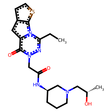 CCc1nn(CC(=O)N[C@@H]2CCCN(C[C@H](C)O)C2)c(=O)c2cc3ccsc3n12